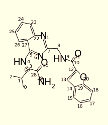 CC(C)[C@H](Nc1nc(CNC(=O)c2cc3ccccc3o2)nc2ccccc12)C(N)=O